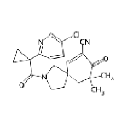 CC1(C)C[C@]2(C=C(C#N)C1=O)CCN(C(=O)C1(c3ccc(Cl)cn3)CC1)C2